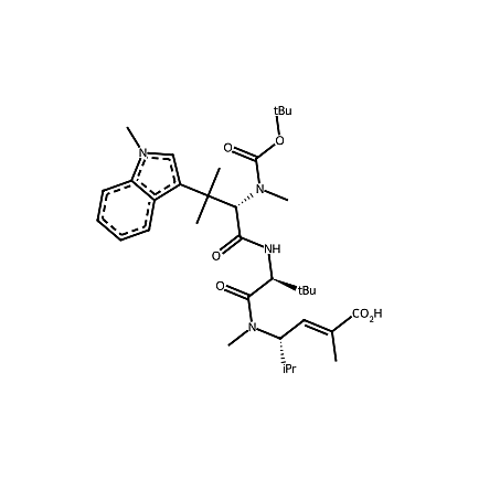 C/C(=C\[C@H](C(C)C)N(C)C(=O)[C@@H](NC(=O)[C@@H](N(C)C(=O)OC(C)(C)C)C(C)(C)c1cn(C)c2ccccc12)C(C)(C)C)C(=O)O